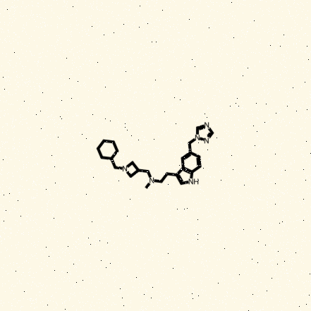 CN(CCc1c[nH]c2ccc(Cn3cncn3)cc12)CC1CN(CC2CCCCC2)C1